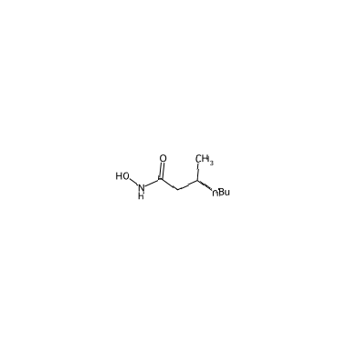 CCCCC(C)CC(=O)NO